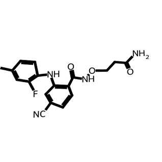 Cc1ccc(Nc2cc(C#N)ccc2C(=O)NOCCC(N)=O)c(F)c1